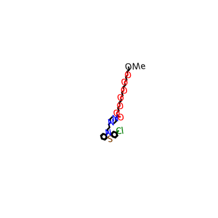 COCCOCCOCCOCCOCCOCCOC(=O)N1CCN(CCCN2c3ccccc3Sc3ccc(Cl)cc32)CC1